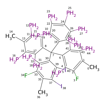 Cc1c(F)c(P)c(C(c2c(P)c(P)c(C)c(P)c2P)(c2c(P)c(P)c(P)c(P)c2P)c2c(P)c(F)c(C)c(I)c2I)c(P)c1P